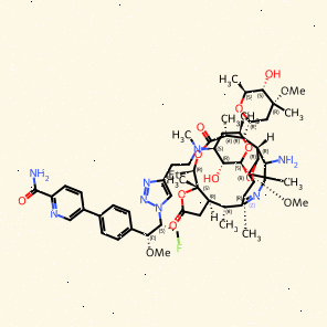 CC[C@H]1OC(=O)[C@H](C)C([C@H]2C[C@@](C)(OC)[C@@H](O)[C@H](C)O2)[C@@H]2C(N)C/N=C(/[C@H](C)C[C@@](C)(OC)[C@@H]2O[C@@H]2O[C@H](C)C[C@H](N(C)CCc3cn([C@H](CF)[C@H](OC)c4ccc(-c5ccc(C(N)=O)nc5)cc4)nn3)[C@H]2O)[C@H](C)[C@H]2CC(=O)O[C@@]21C